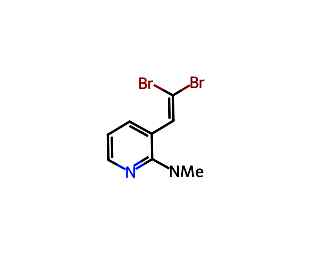 CNc1ncccc1C=C(Br)Br